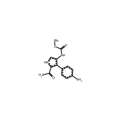 CC(C)(C)OC(=O)Nc1c[nH]c(C(N)=O)c1-c1ccc(N)cc1